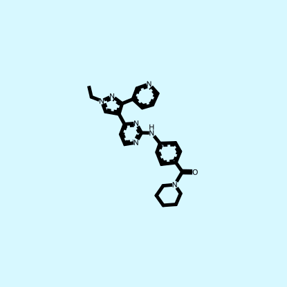 CCn1cc(-c2ccnc(Nc3ccc(C(=O)N4CCCCC4)cc3)n2)c(-c2cccnc2)n1